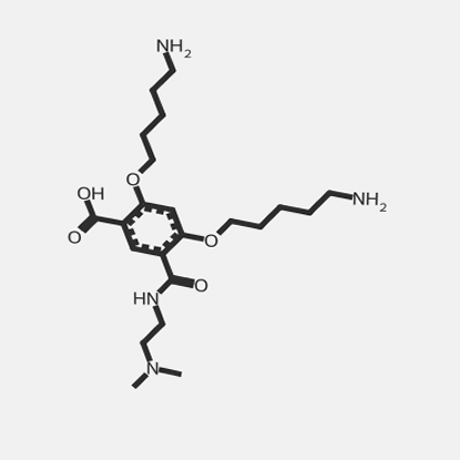 CN(C)CCNC(=O)c1cc(C(=O)O)c(OCCCCCN)cc1OCCCCCN